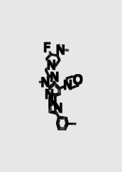 Cc1cccc(-c2ccn(-c3cc(N4CCOCC4)c4nc(CN5CCC(N(C)C)C(F)C5)n(C)c4n3)n2)c1